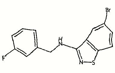 Fc1cccc(CNc2nsc3ccc(Br)cc23)c1